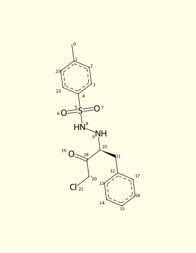 Cc1ccc(S(=O)(=O)NN[C@@H](Cc2ccccc2)C(=O)[CH]Cl)cc1